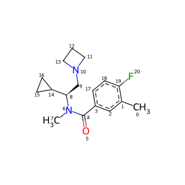 Cc1cc(C(=O)N(C)[C@H](CN2CCC2)C2CC2)ccc1F